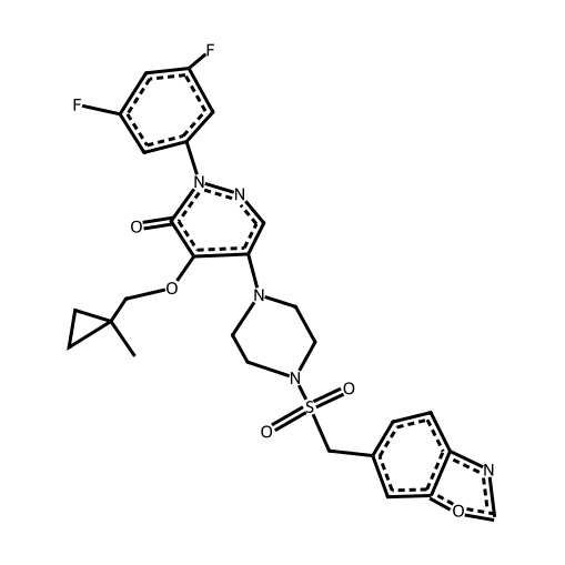 CC1(COc2c(N3CCN(S(=O)(=O)Cc4ccc5ncoc5c4)CC3)cnn(-c3cc(F)cc(F)c3)c2=O)CC1